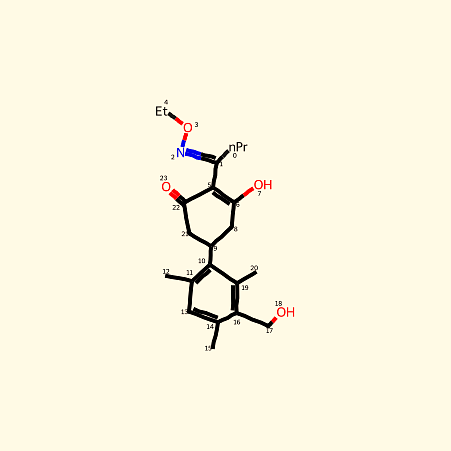 CCCC(=NOCC)C1=C(O)CC(c2c(C)cc(C)c(CO)c2C)CC1=O